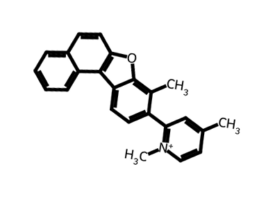 Cc1cc[n+](C)c(-c2ccc3c(oc4ccc5ccccc5c43)c2C)c1